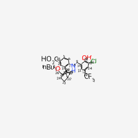 CCCCOc1c(C(=O)O)ccc(NCc2cc(C(F)(F)F)cc(Cl)c2O)c1C1CC2CCC1(C)C2(C)C